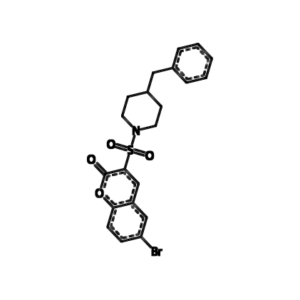 O=c1oc2ccc(Br)cc2cc1S(=O)(=O)N1CCC(Cc2ccccc2)CC1